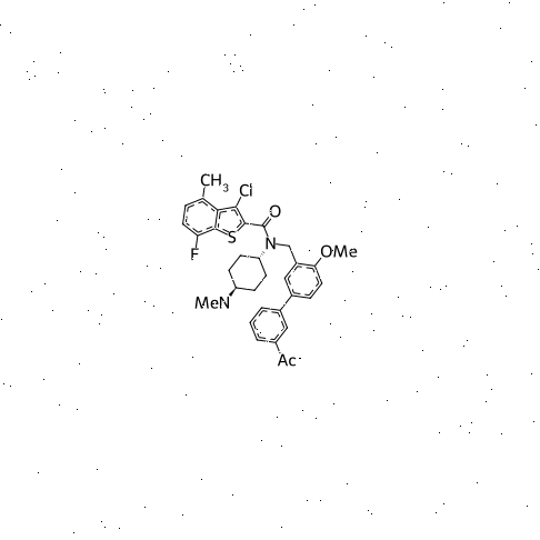 CN[C@H]1CC[C@H](N(Cc2cc(-c3cccc(C(C)=O)c3)ccc2OC)C(=O)c2sc3c(F)ccc(C)c3c2Cl)CC1